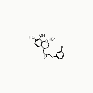 Br.CN(CCc1cccc(F)c1)CC1CCOc2c1ccc(O)c2O